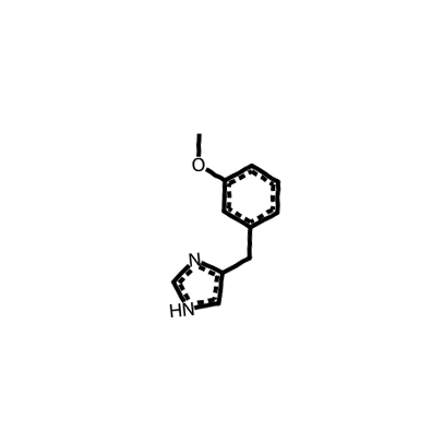 COc1cccc(Cc2c[nH]cn2)c1